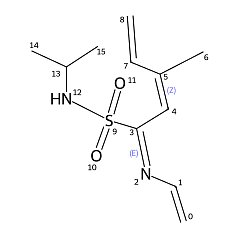 C=C/N=C(\C=C(\C)C=C)S(=O)(=O)NC(C)C